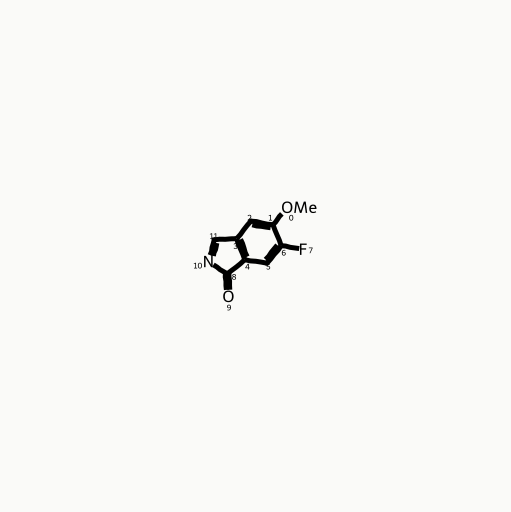 COc1cc2c(cc1F)C(=O)N=C2